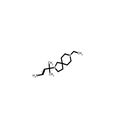 CCN1CCC2(CC1)CCN(C(C)(C)/C=C/N)C2